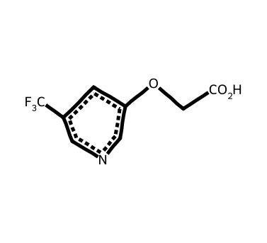 O=C(O)COc1cncc(C(F)(F)F)c1